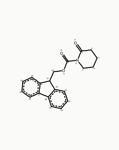 O=C1CCCCN1C(=O)OCC1c2ccccc2-c2ccccc21